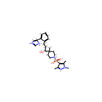 Cc1nn(C)c(C)c1S(=O)(=O)N1CCC2(CC1)C[C@@H]([C@H]1c3ccccc3-c3cncn31)[C@H]2O